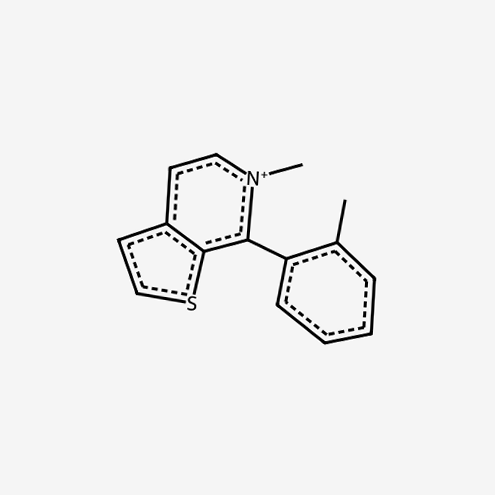 Cc1ccccc1-c1c2sccc2cc[n+]1C